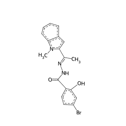 C/C(=N\NC(=O)c1ccc(Br)cc1O)c1cc2ccccc2n1C